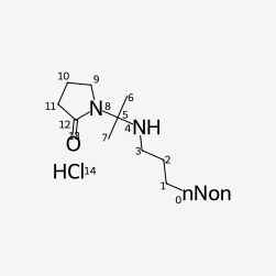 CCCCCCCCCCCCNC(C)(C)N1CCCC1=O.Cl